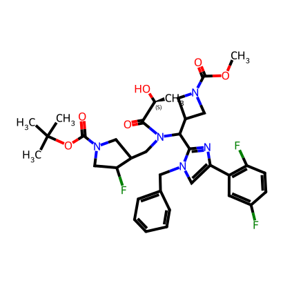 COC(=O)N1CC(C(c2nc(-c3cc(F)ccc3F)cn2Cc2ccccc2)N(CC2CN(C(=O)OC(C)(C)C)CC2F)C(=O)[C@H](C)O)C1